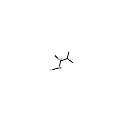 CC(C)[C@H](C)NCl